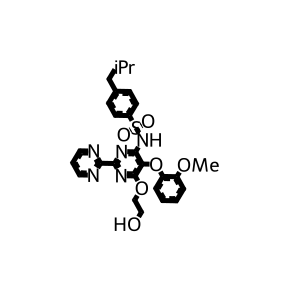 COc1ccccc1Oc1c(NS(=O)(=O)c2ccc(CC(C)C)cc2)nc(-c2ncccn2)nc1OCCO